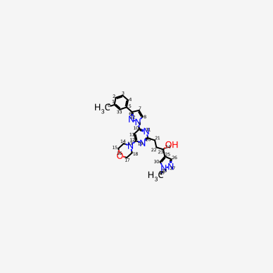 Cc1cccc(-c2ccn(-c3cc(N4CCOCC4)nc(CCC(O)c4cnn(C)c4)n3)n2)c1